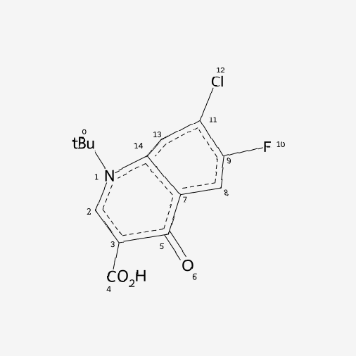 CC(C)(C)n1cc(C(=O)O)c(=O)c2cc(F)c(Cl)cc21